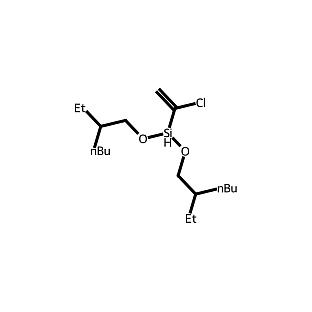 C=C(Cl)[SiH](OCC(CC)CCCC)OCC(CC)CCCC